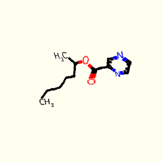 CCCCCC(C)OC(=O)c1cnccn1